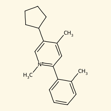 Cc1ccccc1-c1cc(C)c(C2CCCC2)c[n+]1C